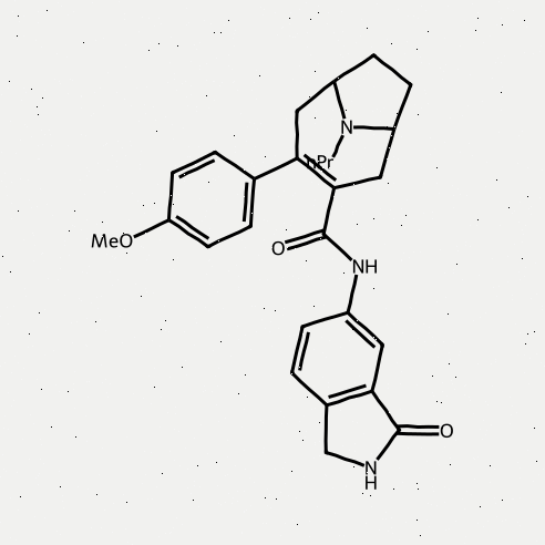 CCCN1C2CCC1CC(c1ccc(OC)cc1)=C(C(=O)Nc1ccc3c(c1)C(=O)NC3)C2